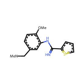 CNCc1ccc(OC)c(NC(=N)c2cccs2)c1